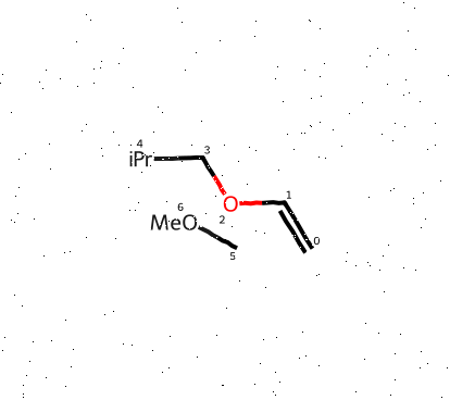 C=COCC(C)C.COC